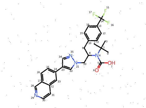 CC(C)(C)N(C(=O)O)C(Cc1ccc(C(F)(F)F)cc1)Cn1cc(-c2ccc3cnccc3c2)cn1